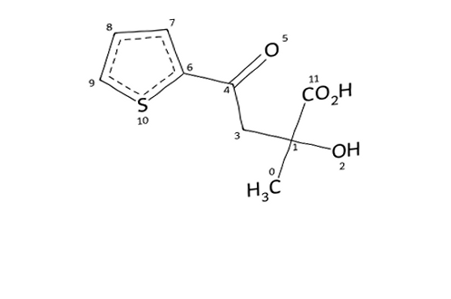 CC(O)(CC(=O)c1cccs1)C(=O)O